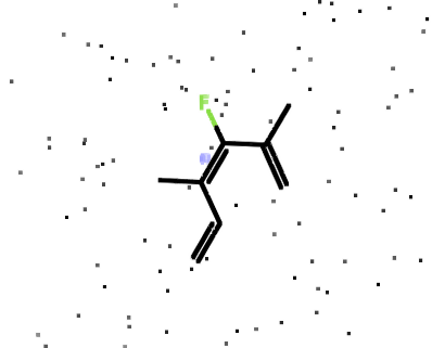 C=C/C(C)=C(/F)C(=C)C